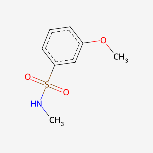 CNS(=O)(=O)c1cccc(OC)c1